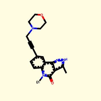 CCn1c(=O)c2c(C)[nH]nc2c2cc(C#CCN3CCOCC3)ccc21